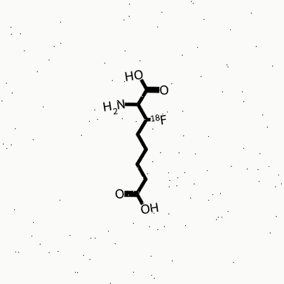 NC(C(=O)O)C([18F])CCCCC(=O)O